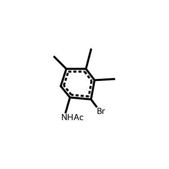 CC(=O)Nc1cc(C)c(C)c(C)c1Br